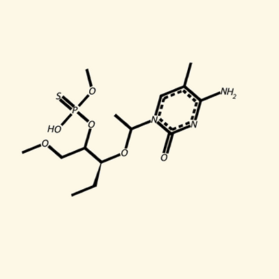 CC[C@H](OC(C)n1cc(C)c(N)nc1=O)C(COC)OP(O)(=S)OC